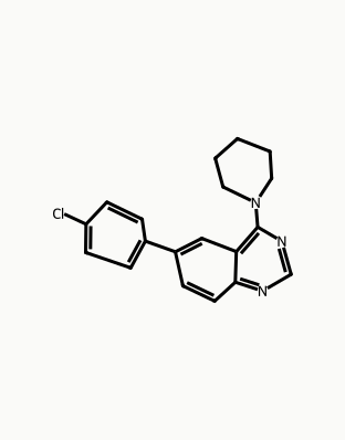 Clc1ccc(-c2ccc3ncnc(N4CCCCC4)c3c2)cc1